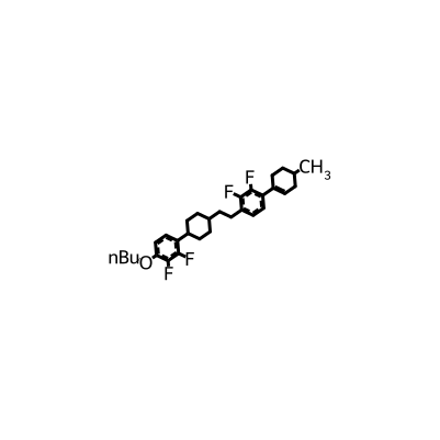 CCCCOc1ccc(C2CCC(CCc3ccc(C4=CCC(C)CC4)c(F)c3F)CC2)c(F)c1F